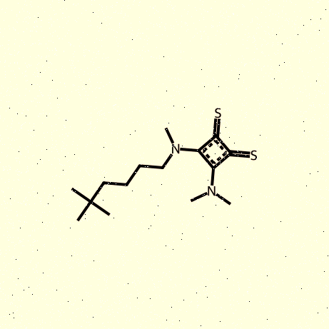 CN(C)c1c(N(C)CCCCC(C)(C)C)c(=S)c1=S